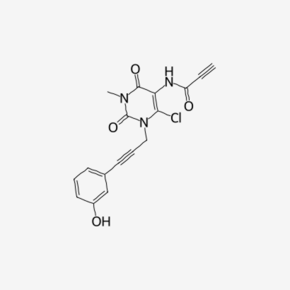 C#CC(=O)Nc1c(Cl)n(CC#Cc2cccc(O)c2)c(=O)n(C)c1=O